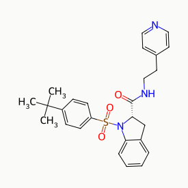 CC(C)(C)c1ccc(S(=O)(=O)N2c3ccccc3C[C@H]2C(=O)NCCc2ccncc2)cc1